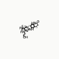 O=C1CCc2cc(Nc3ncc(C(F)(F)F)c(NCCO)n3)ccc2N1